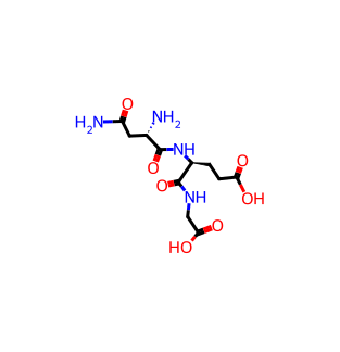 NC(=O)C[C@H](N)C(=O)N[C@@H](CCC(=O)O)C(=O)NCC(=O)O